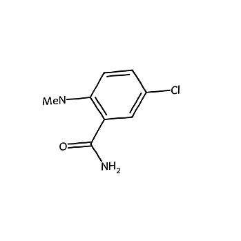 CNc1ccc(Cl)cc1C(N)=O